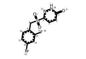 O=c1ccc(S(=O)(=O)Cc2ccc(Br)cc2F)n[nH]1